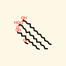 CCCCCCCCCCCCCCCC(=O)O.CCCCCCCCCCCCCCCC(=O)O.CCCCCCCCCCCCO.CCO